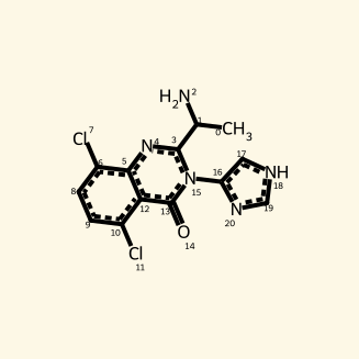 CC(N)c1nc2c(Cl)ccc(Cl)c2c(=O)n1-c1c[nH]cn1